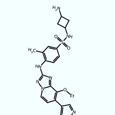 CCOc1c(-c2cn[nH]c2)ccn2nc(Nc3ccc(S(=O)(=O)NC4CC(N)C4)cc3C)nc12